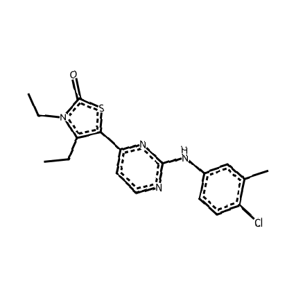 CCc1c(-c2ccnc(Nc3ccc(Cl)c(C)c3)n2)sc(=O)n1CC